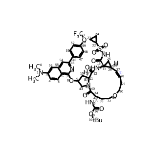 CN(C)c1ccc2c(OC3C[C@H]4C(=O)N[C@]5(C(=O)NS(=O)(=O)C6CC6)C[C@H]5/C=C\CCOCC[C@H](NC(=O)OC(C)(C)C)C(=O)N4C3)nc(-c3ccc(OC(F)(F)F)cc3)cc2c1